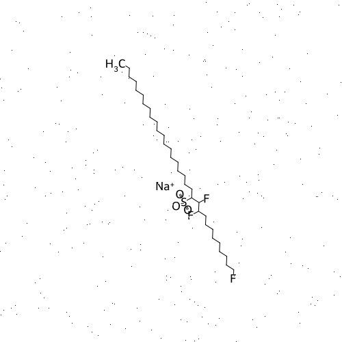 CCCCCCCCCCCCCCCCCCCCC(C(F)C(F)CCCCCCCCCF)S(=O)(=O)[O-].[Na+]